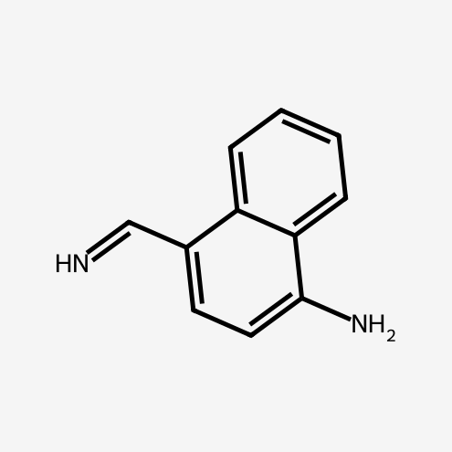 N=Cc1ccc(N)c2ccccc12